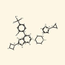 Fc1cc(C(F)(F)F)ccc1-c1nc([C@H]2CCO[C@@H](c3cnn(C4CC4)c3)C2)nc2nc(N3CCC3)sc12